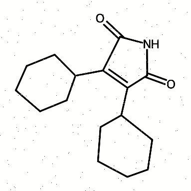 O=C1NC(=O)C(C2CCCCC2)=C1C1CCCCC1